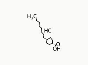 CCCCCCCCC[C@H]1CC[C@H](C(=O)O)CC1.Cl